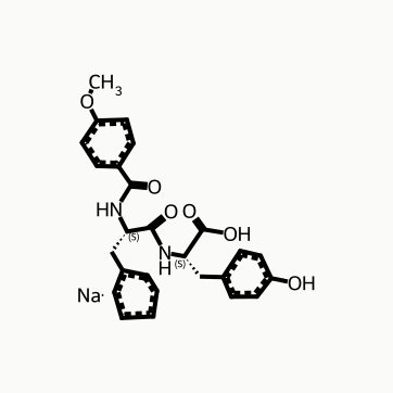 COc1ccc(C(=O)N[C@@H](Cc2ccccc2)C(=O)N[C@@H](Cc2ccc(O)cc2)C(=O)O)cc1.[Na]